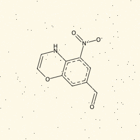 O=Cc1cc2c(c([N+](=O)[O-])c1)NC=CO2